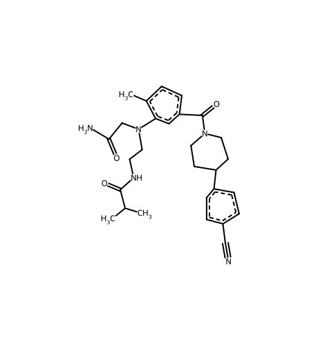 Cc1ccc(C(=O)N2CCC(c3ccc(C#N)cc3)CC2)cc1N(CCNC(=O)C(C)C)CC(N)=O